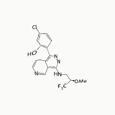 CO[C@H](CNc1nnc(-c2ccc(Cl)cc2O)c2ccncc12)C(F)(F)F